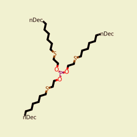 CCCCCCCCCCCCCCCCSCCOP(OCCSCCCCCCCCCCCCCCCC)OCCSCCCCCCCCCCCCCCCC